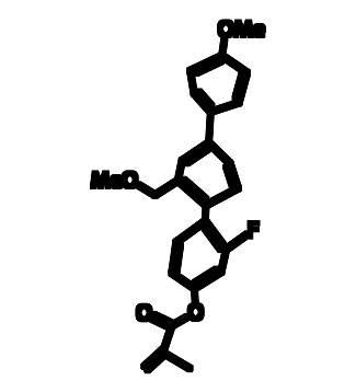 C=C(C)C(=O)Oc1ccc(-c2ccc(-c3ccc(OC)cc3)cc2COC)c(F)c1